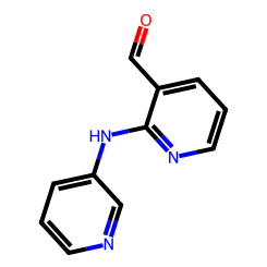 O=Cc1cccnc1Nc1cccnc1